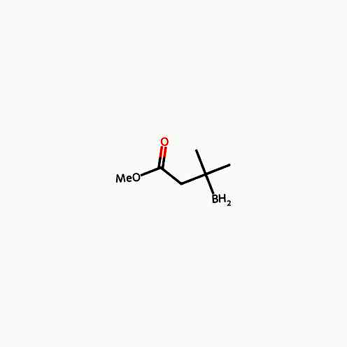 BC(C)(C)CC(=O)OC